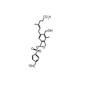 C/C(=C\Cc1cc2c(c(C)c1CO)COC2OS(=O)(=O)c1ccc(C=O)cc1)CCC(=O)O